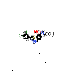 CN(Cc1ccc(C(O)N(C)CC(=O)O)cc1)c1nc(C2=CC(Cl)=C(Cl)CC2)cs1